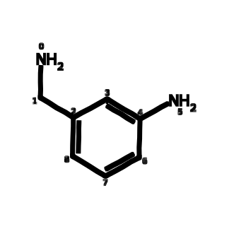 NCc1[c]c(N)ccc1